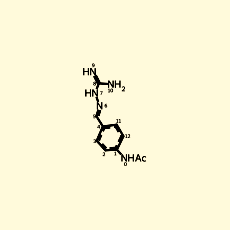 CC(=O)Nc1ccc(C=NNC(=N)N)cc1